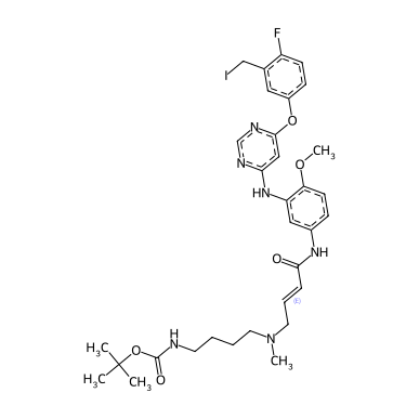 COc1ccc(NC(=O)/C=C/CN(C)CCCCNC(=O)OC(C)(C)C)cc1Nc1cc(Oc2ccc(F)c(CI)c2)ncn1